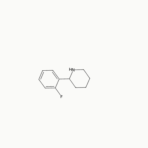 Fc1ccccc1C1CCCCN1